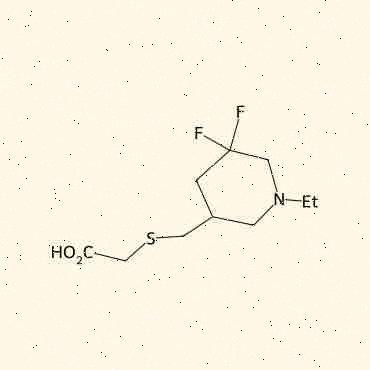 CCN1CC(CSCC(=O)O)CC(F)(F)C1